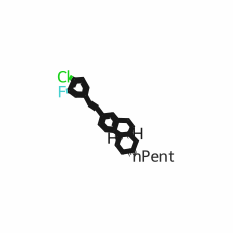 CCCCC[C@@H]1CC[C@@H]2c3ccc(C#Cc4ccc(Cl)c(F)c4)cc3CC[C@@H]2C1